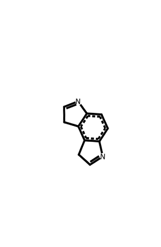 C1=Nc2ccc3c(c2C1)CC=N3